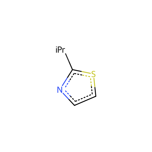 CC(C)c1nccs1